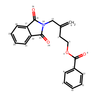 C=C(CCOC(=O)c1ccccc1)CN1C(=O)c2ccccc2C1=O